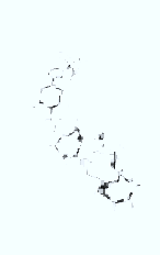 CCS(=O)(=O)N(Cc1cccnc1)c1ccc(Oc2ccc(OC(F)(F)F)cc2)cc1